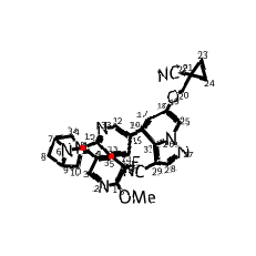 COc1ncc(CN2C3CC2CN(c2ccc(-c4cc(OCC5(C#N)CC5)cn5ncc(C#N)c45)cn2)C3)cc1F